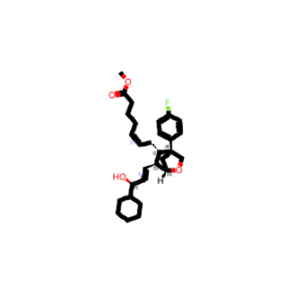 COC(=O)CCC/C=C\C[C@H]1[C@H](/C=C/[C@H](O)C2CCCCC2)[C@@H]2C[C@@]1(c1ccc(F)cc1)CO2